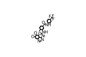 COc1cc2ncnc(N(C)C(=O)Nc3cc(C(=O)Nc4ccc(C(F)(F)F)cc4)ccc3C)c2cc1OC